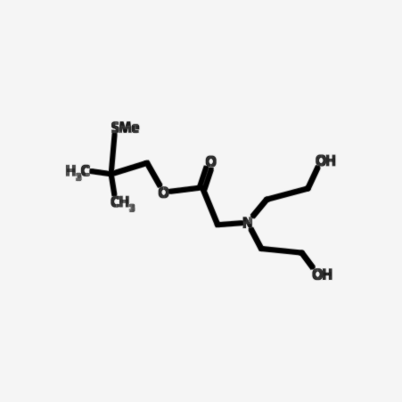 CSC(C)(C)COC(=O)CN(CCO)CCO